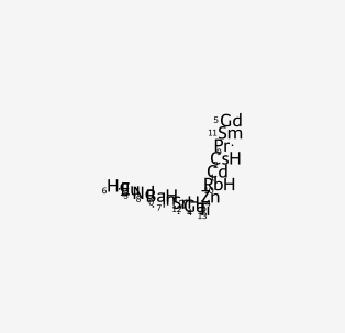 [BaH2].[Cd].[CsH].[Eu].[Ga].[Gd].[Hg].[In].[Nd].[Pr].[RbH].[Sm].[SrH2].[Ti].[Zn]